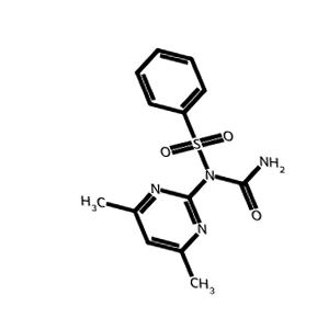 Cc1cc(C)nc(N(C(N)=O)S(=O)(=O)c2ccccc2)n1